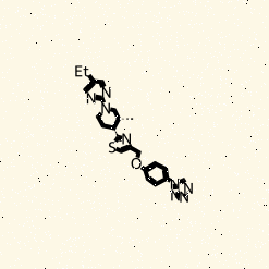 CCc1cnc(N2CC[C@@H](c3nc(COc4ccc(-n5cnnn5)cc4)cs3)[C@@H](C)C2)nc1